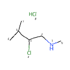 CNCC(Cl)C(C)C.Cl